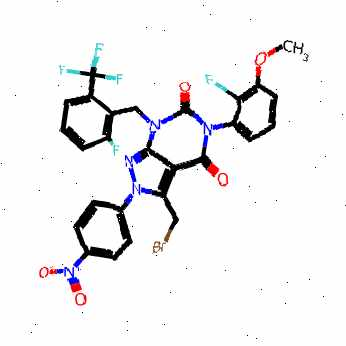 COc1cccc(-n2c(=O)c3c(CBr)n(-c4ccc([N+](=O)[O-])cc4)nc3n(Cc3c(F)cccc3C(F)(F)F)c2=O)c1F